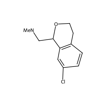 CNCC1OCCc2ccc(Cl)cc21